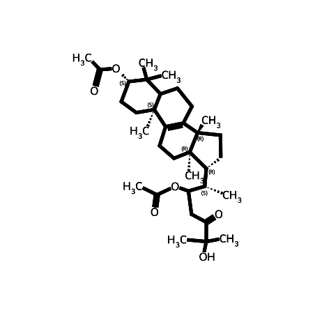 CC(=O)OC(CC(=O)C(C)(C)O)[C@@H](C)[C@H]1CC[C@@]2(C)C3=C(CC[C@]12C)[C@@]1(C)CC[C@H](OC(C)=O)C(C)(C)C1CC3